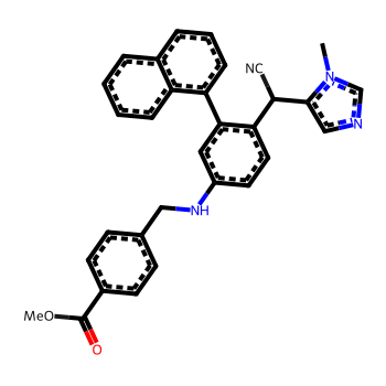 COC(=O)c1ccc(CNc2ccc(C(C#N)c3cncn3C)c(-c3cccc4ccccc34)c2)cc1